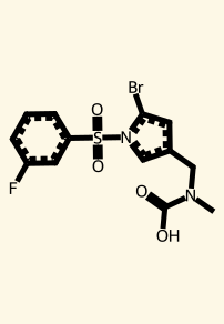 CN(Cc1cc(Br)n(S(=O)(=O)c2cccc(F)c2)c1)C(=O)O